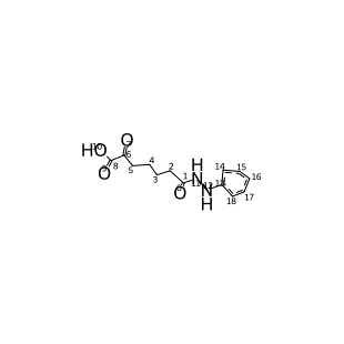 O=C(CCCCC(=O)C(=O)O)NNc1ccccc1